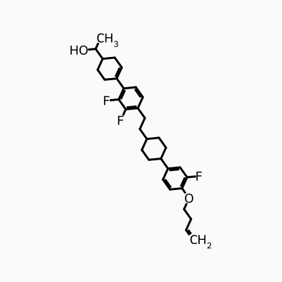 C=CCCOc1ccc(C2CCC(CCc3ccc(C4=CCC(C(C)O)CC4)c(F)c3F)CC2)cc1F